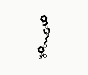 O=[N+]([O-])c1cccc(OCCCCN2CCN(c3cc4ccccc4s3)CC2)c1